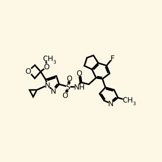 COC1(c2cc(S(=O)(=O)NC(=O)Cc3c(-c4ccnc(C)c4)cc(F)c4c3CCC4)nn2C2CC2)COC1